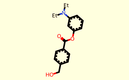 CCN(CC)c1cccc(OC(=O)c2ccc(CO)cc2)c1